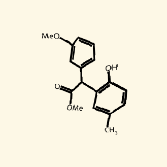 COC(=O)C(c1cccc(OC)c1)c1cc(C)ccc1O